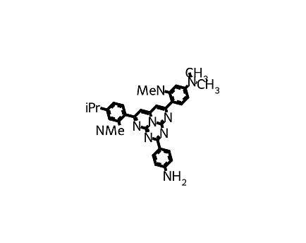 CNc1cc(N(C)C)ccc1C1=CC2=CC(c3ccc(C(C)C)cc3NC)=NC3=NC(c4ccc(N)cc4)=NC(=N1)N23